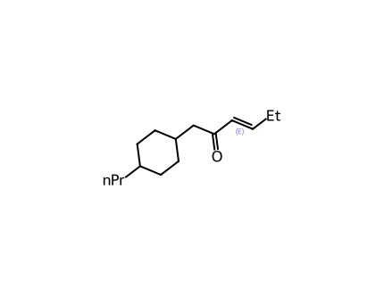 CC/C=C/C(=O)CC1CCC(CCC)CC1